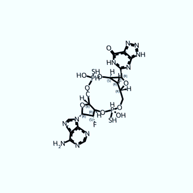 Nc1ncnc2c1ncn2[C@@H]1O[C@@H]2CO[PH](O)(S)O[C@@H]3[C@H](F)[C@@H](CO[PH](O)(S)O[C@H]2[C@@H]1F)O[C@@H]3c1nc2[nH]nnc2c(=O)[nH]1